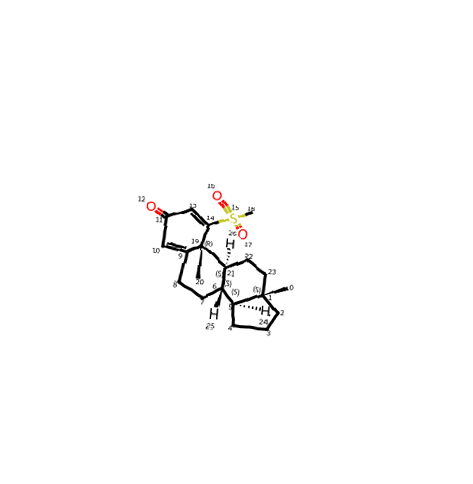 C[C@@]12CCC[C@H]1[C@@H]1CCC3=CC(=O)C=C(S(C)(=O)=O)[C@]3(C)[C@H]1CC2